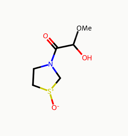 COC(O)C(=O)N1CC[S+]([O-])C1